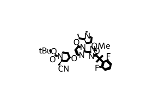 CO[C@H]1C[C@@H]([C@H](C)Oc2cc(O[C@H]3CCN(C(=O)OC(C)(C)C)[C@H](CC#N)C3)nc(-c3noc(C(C)(C)c4c(F)cccc4F)n3)n2)N(C)C1